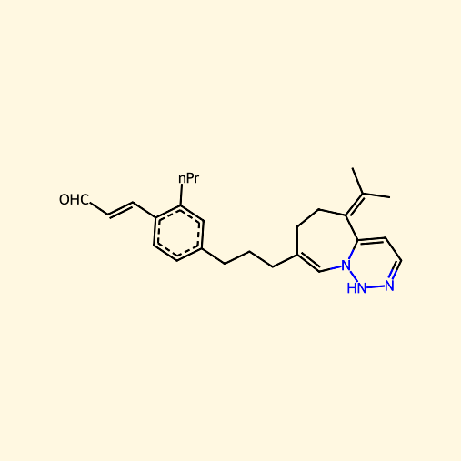 CCCc1cc(CCCC2=CN3NN=CC=C3C(=C(C)C)CC2)ccc1/C=C/C=O